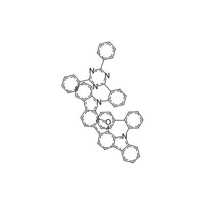 c1ccc(-c2nc(-c3ccccc3)nc(-c3ccccc3-n3c4ccccc4c4ccc5c6ccc7c8ccccc8n(-c8ccccc8-c8ccccc8)c7c6oc5c43)n2)cc1